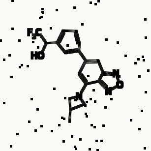 CC1CN(c2cc(-c3cccc(C(O)C(F)(F)F)c3)cc3nonc23)C1